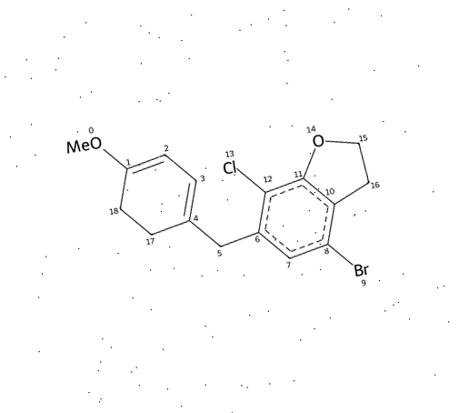 COC1=CC=C(Cc2cc(Br)c3c(c2Cl)OCC3)CC1